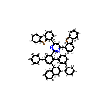 c1ccc(-c2cccc(-c3c(-c4nc(-c5cccc6c5sc5ccccc56)cc(-c5cccc6c5sc5ccccc56)n4)cc(-c4ccccc4)cc3-c3cccc4ccccc34)c2)cc1